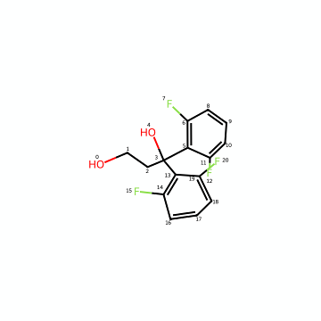 OCCC(O)(c1c(F)cccc1F)c1c(F)cccc1F